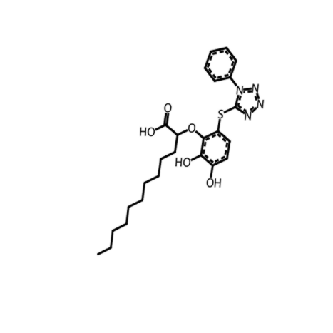 CCCCCCCCCCC(Oc1c(Sc2nnnn2-c2ccccc2)ccc(O)c1O)C(=O)O